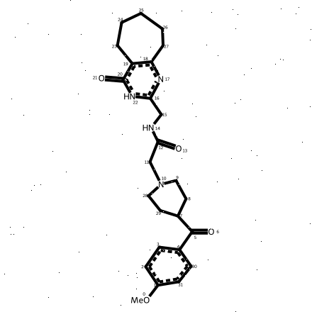 COc1ccc(C(=O)C2CCN(CC(=O)NCc3nc4c(c(=O)[nH]3)CCCCC4)CC2)cc1